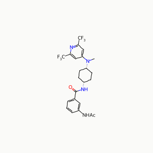 CC(=O)Nc1cccc(C(=O)N[C@H]2CC[C@@H](N(C)c3cc(C(F)(F)F)nc(C(F)(F)F)c3)CC2)c1